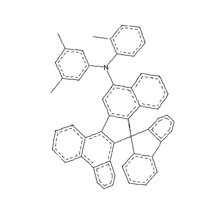 Cc1cc(C)cc(N(c2ccccc2C)c2cc3c(c4ccccc24)C2(c4ccccc4-c4ccccc42)c2c-3c3ccccc3c3ccccc23)c1